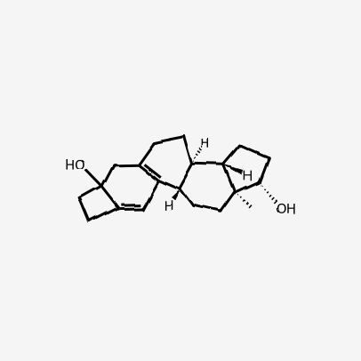 C[C@]12CC[C@@H]3C4=C(CC[C@H]3[C@@H]1CC[C@@H]2O)CC1(O)CCC1=C4